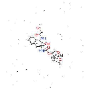 O=C(CBr)NC[C@@H](O)[C@H](Cc1ccccc1)NC(=O)O[C@H]1CO[C@H]2OCC[C@H]21